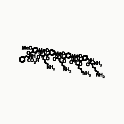 COc1ccc(NC(=O)[C@H](CCCCN)NC(=O)c2cc(NC(=O)[C@H](CCCCN)NC(=O)c3cc(NC(=O)[C@H](CCCCCN)NC(=O)c4cc(NC(=O)[C@@H](N)CCCCN)ccc4OC)ccc3OC)ccc2OC)cc1C(=O)N[C@@H](Cc1ccccc1)C(=O)O